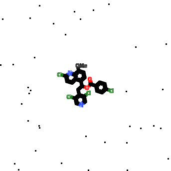 COc1ccc(C(Cc2c(Cl)cncc2Cl)OC(=O)c2ccc(Cl)cc2)c2ccc(Cl)nc12